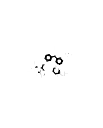 COc1ccc(N2CCCC(C)(C)C2)cc1[C@@H](O)c1cccc(OCC2COC(C)(C)N2C(=O)OC(C)(C)C)c1